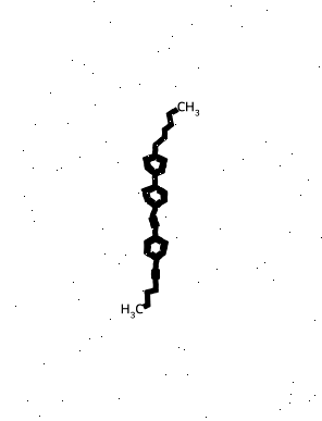 CCCCC#Cc1ccc(C#Cc2ccc(-c3ccc(CCCCCC)cc3)cc2)cc1